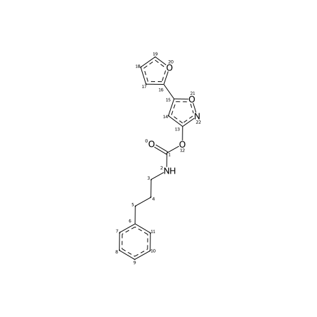 O=C(NCCCc1ccccc1)Oc1cc(-c2ccco2)on1